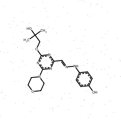 CC(C)(O)COc1nc(C=NNc2ccc(O)cc2)nc(N2CCOCC2)n1